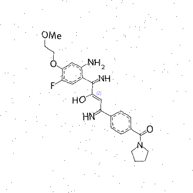 COCCOc1cc(N)c(C(=N)/C(O)=C/C(=N)c2ccc(C(=O)N3CCCC3)cc2)cc1F